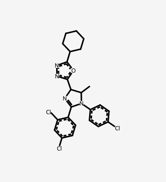 CC1C(c2nnc(C3CCCCC3)o2)N=C(c2ccc(Cl)cc2Cl)N1c1ccc(Cl)cc1